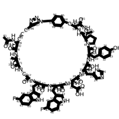 CC[C@@]12CCCN1C(=O)[C@H](Cc1ccc(O)cc1)NC(=O)[C@H](Cc1cnc[nH]1)NC(=O)[C@H](CC(=O)O)NC(=O)[C@H](Cc1c[nH]c3ccc(F)cc13)NC(=O)[C@H](Cc1c[nH]c3ccc(F)cc13)NC(=O)CNC(=O)[C@H](C)NC(=O)[C@@H](NC(C)=O)CCCc1cn(nn1)-c1ccc(cc1)C[C@@H](C(N)=O)NC2=O